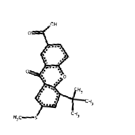 CSc1cc(C(C)(C)C)c2oc3ccc(C(=O)O)cc3c(=O)c2c1